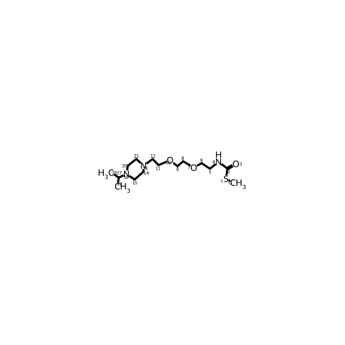 CSC(=O)NCCOCCOCCN1CCN(C(C)C)CC1